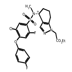 CCOC(=O)Cn1ncc2c1CCC[C@H]2N(C)S(=O)(=O)c1cc(Cl)c(Oc2ccc(F)cc2)cc1F